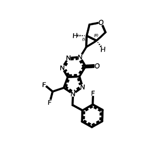 O=c1c2nn(Cc3ccccc3F)c(C(F)F)c2nnn1C1[C@H]2COC[C@@H]12